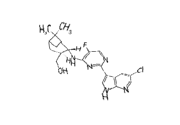 CC1(C)C2CC1[C@H](Nc1nc(-c3c[nH]c4ncc(Cl)cc34)ncc1F)[C@@H](CO)C2